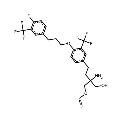 NC(CO)(CCc1ccc(OCCCc2ccc(F)c(C(F)(F)F)c2)c(C(F)(F)F)c1)COP=O